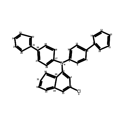 Clc1cc(N(c2ccc(-c3ccccc3)cc2)c2ccc(-c3ccccc3)cc2)c2ccccc2c1